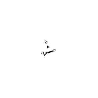 [PH2][Ti].[V].[Zr]